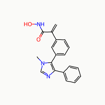 C=C(C(=O)NO)c1cccc(-c2c(-c3ccccc3)ncn2C)c1